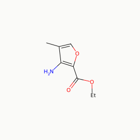 CCOC(=O)c1occ(C)c1N